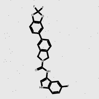 O=C(Nc1c[nH]c2ccc(F)cc12)N1Cc2ccc(-c3ccc4c(c3)OC(F)(F)O4)cc2C1